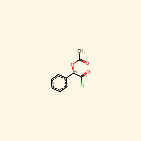 CC(=O)O[C@@H](C(=O)Cl)c1ccccc1